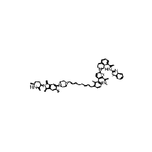 C=C1CCC(n2c(=C)c3cc(F)c(N4CCN(CCCCCCCCc5cccc(-c6ccc(N7CCc8cccc(C(=C)Nc9nc%10ccccc%10s9)c8C7)nc6C(=C)NC)c5C)CC4)cc3c2=C)C(=C)N1